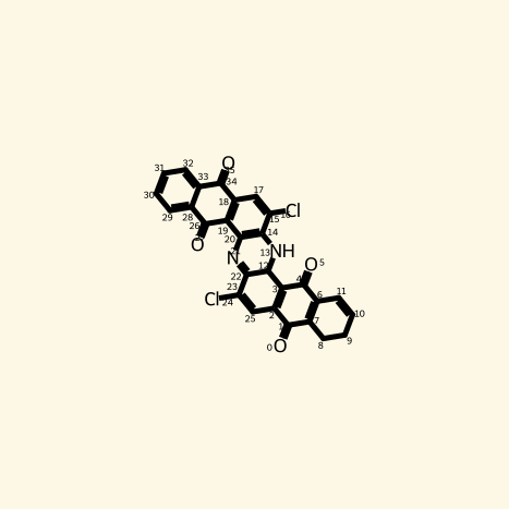 O=C1C2=C(C(=O)C3=C1CCC=C3)C1Nc3c(Cl)cc4c(c3N=C1C(Cl)=C2)C(=O)c1ccccc1C4=O